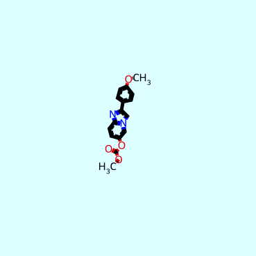 COC(=O)Oc1ccc2nc(-c3ccc(OC)cc3)cn2c1